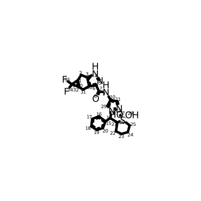 CC12Cc3[nH]nc(C(=O)Nc4cnn(C(c5ccccc5)C5CCCCS5(O)O)c4)c3CC1C2(F)F